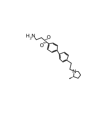 C[C@@H]1CCCN1CCc1ccc(-c2ccc(S(=O)(=O)CCN)cc2)cc1